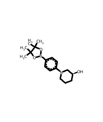 CC1(C)OB(c2ccc(N3CCC[C@H](O)C3)cc2)OC1(C)C